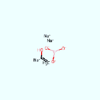 C=CO.[Na+].[Na+].[Na+].[O-]B([O-])[O-]